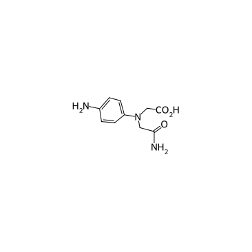 NC(=O)CN(CC(=O)O)c1ccc(N)cc1